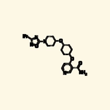 CC(C)c1noc(N2CCC(OC3CCC(Oc4ccncc4C(N)=O)CC3)CC2)n1